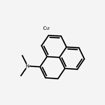 CN(C)C1=CCc2cccc3cccc1c23.[Cu]